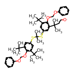 CC(C)(Sc1cc(C(C)(C)C)c(OCOc2ccccc2)c(C(C)(C)C)c1)Sc1cc(C(C)(C)C)c(OCOc2ccccc2)c(C(C)(C)CC[O])c1